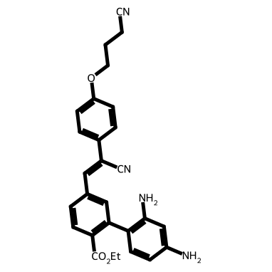 CCOC(=O)c1ccc(/C=C(\C#N)c2ccc(OCCCC#N)cc2)cc1-c1ccc(N)cc1N